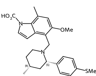 COc1cc(C)c2c(ccn2C(=O)O)c1CN1CC[C@@H](C)C[C@H]1c1ccc(SC)cc1